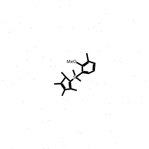 COc1c(C)cccc1[Si](C)(C)C1=C(C)C(C)=C(C)C1C